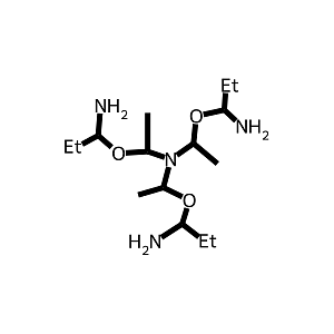 CCC(N)OC(C)N(C(C)OC(N)CC)C(C)OC(N)CC